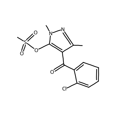 Cc1nn(C)c(OS(C)(=O)=O)c1C(=O)c1ccccc1Cl